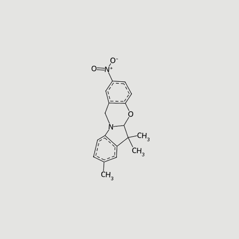 Cc1ccc2c(c1)C(C)(C)C1Oc3ccc([N+](=O)[O-])cc3CN21